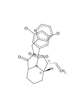 C=C[C@H]1CN(Cc2ccccn2)C(=O)C2CCC[C@@H]1N2S(=O)(=O)c1cc(Cl)cc(Cl)c1